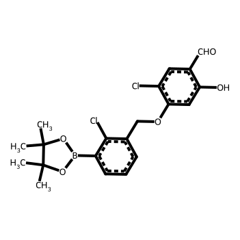 CC1(C)OB(c2cccc(COc3cc(O)c(C=O)cc3Cl)c2Cl)OC1(C)C